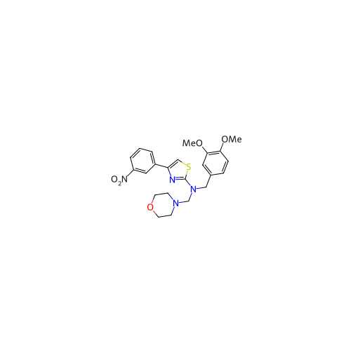 COc1ccc(CN(CN2CCOCC2)c2nc(-c3cccc([N+](=O)[O-])c3)cs2)cc1OC